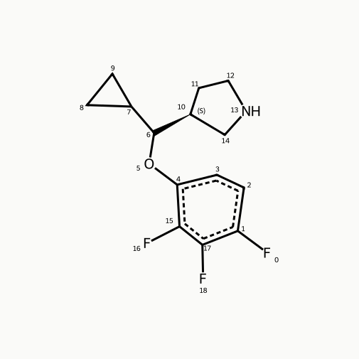 Fc1ccc(OC(C2CC2)[C@H]2CCNC2)c(F)c1F